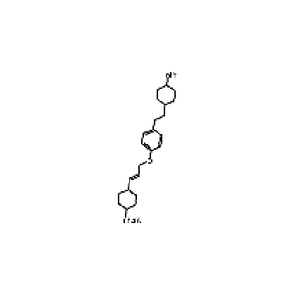 CCCCCC1CCC(C=CCOc2ccc(CCC3CCC(CCC)CC3)cc2)CC1